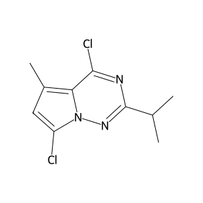 Cc1cc(Cl)n2nc(C(C)C)nc(Cl)c12